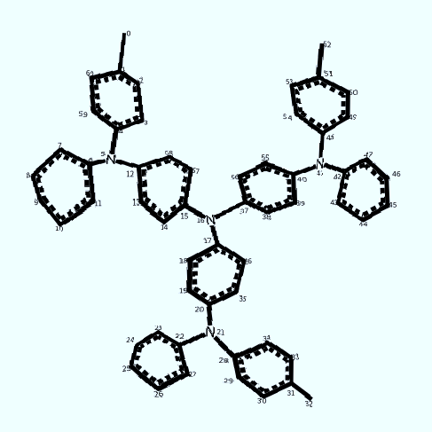 Cc1ccc(N(c2ccccc2)c2ccc(N(c3ccc(N(c4ccccc4)c4ccc(C)cc4)cc3)c3ccc(N(c4ccccc4)c4ccc(C)cc4)cc3)cc2)cc1